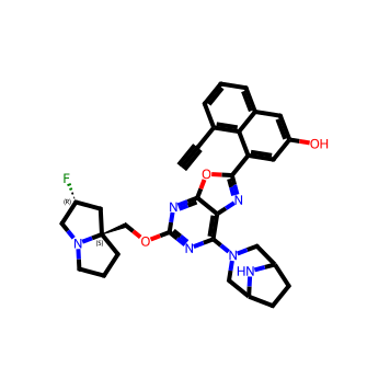 C#Cc1cccc2cc(O)cc(-c3nc4c(N5CC6CCC(C5)N6)nc(OC[C@@]56CCCN5C[C@H](F)C6)nc4o3)c12